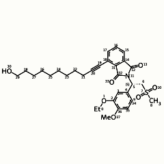 CCOc1cc([C@@H](CS(C)(=O)=O)N2C(=O)c3cccc(C#CCCCCCCCCCO)c3C2=O)ccc1OC